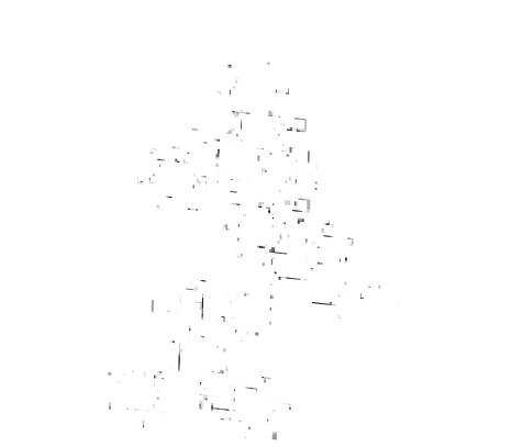 Cc1ccc(N(c2ccc3c(c2)C(C)(C)c2cc(-c4ccccc4)c4oc5ccccc5c4c2-3)c2ccc3c(c2)C(C)(C)c2c4c(c5oc6ccccc6c5c2-3)-c2ccccc2C4(C)C)c(C(C)(C)C)c1